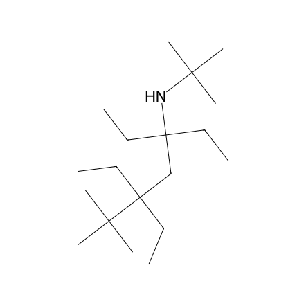 CCC(CC)(CC(CC)(CC)C(C)(C)C)NC(C)(C)C